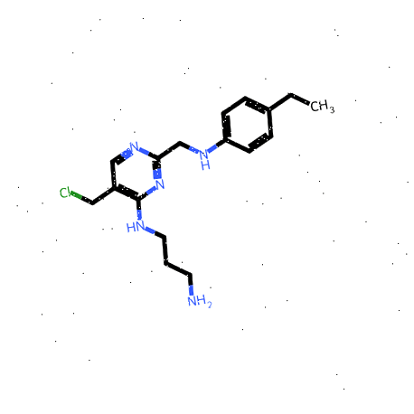 CCc1ccc(NCc2ncc(CCl)c(NCCCN)n2)cc1